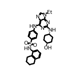 CCn1cnc2c(Nc3ccc(S(=O)(=O)Nc4cccc5c4CCCC5)cc3)nc(N[C@H]3CC[C@H](O)CC3)nc21